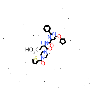 O=C(O)CCC(NC(=O)c1cc(OC2CCCC2)nc(-c2ccccc2)n1)C(=O)N1CCN(C(=O)c2cccs2)CC1